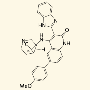 COc1ccc(-c2ccc3[nH]c(=O)c(-c4nc5ccccc5[nH]4)c(N[C@@H]4CN5CCC4CC5)c3c2)cc1